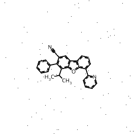 CC(C)c1c(-c2ccccc2)c(C#N)cc2c1oc1c(-c3ccccn3)cccc12